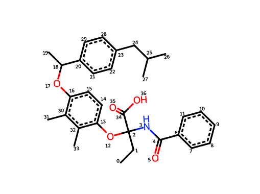 CCC(NC(=O)c1ccccc1)(Oc1ccc(OC(C)c2ccc(CC(C)C)cc2)c(C)c1C)C(=O)O